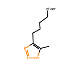 CCCCCCCCCc1pp[pH]c1C